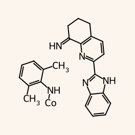 Cc1cccc(C)c1[NH][Co].N=C1CCCc2ccc(-c3nc4ccccc4[nH]3)nc21